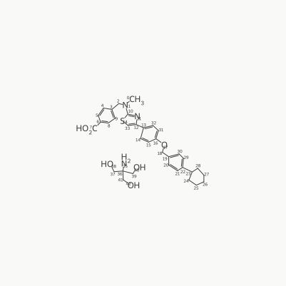 CN(Cc1ccc(C(=O)O)cc1)c1nc(-c2ccc(OCc3ccc(C4CCCCC4)cc3)cc2)cs1.NC(CO)(CO)CO